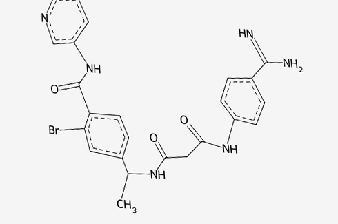 CC(NC(=O)CC(=O)Nc1ccc(C(=N)N)cc1)c1ccc(C(=O)Nc2cccnc2)c(Br)c1